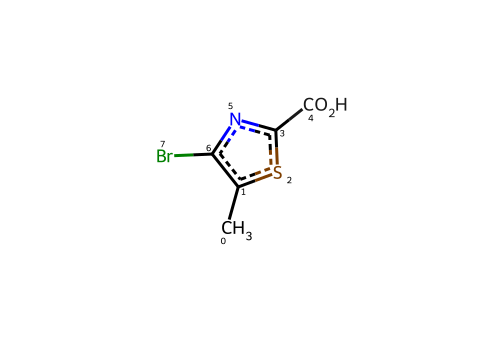 Cc1sc(C(=O)O)nc1Br